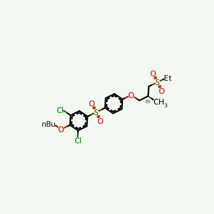 CCCCOc1c(Cl)cc(S(=O)(=O)c2ccc(OC[C@H](C)CS(=O)(=O)CC)cc2)cc1Cl